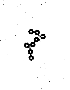 c1ccc(-c2ccc(-n3c4ccccc4c4cc(-c5ccc6c(c5)Sc5ccccc5N6c5cccc(-c6ccccc6)c5)ccc43)cc2)cc1